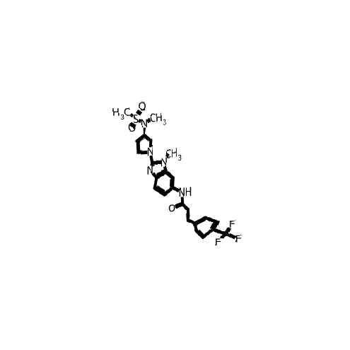 CN([C@@H]1CCN(c2nc3ccc(NC(=O)CCc4ccc(C(F)(F)F)cc4)cc3n2C)C1)S(C)(=O)=O